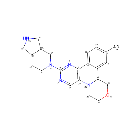 N#Cc1ccc(-c2nc(N3CCC4CNCC4C3)ncc2N2CCOCC2)cc1